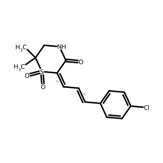 CC1(C)CNC(=O)/C(=C\C=C\c2ccc(Cl)cc2)S1(=O)=O